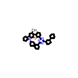 Cc1cc2c3ccccc3n(-c3ccccc3)c2c2sc3c(-c4nc(-c5ccccc5)nc(-c5cccc(-c6ccccc6)c5)n4)cccc3c12